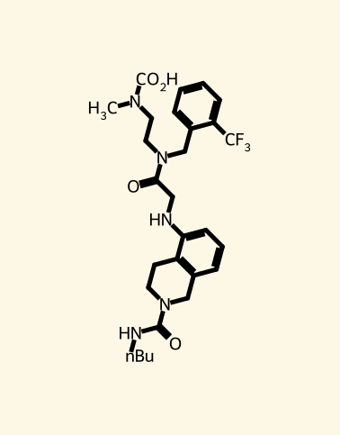 CCCCNC(=O)N1CCc2c(cccc2NCC(=O)N(CCN(C)C(=O)O)Cc2ccccc2C(F)(F)F)C1